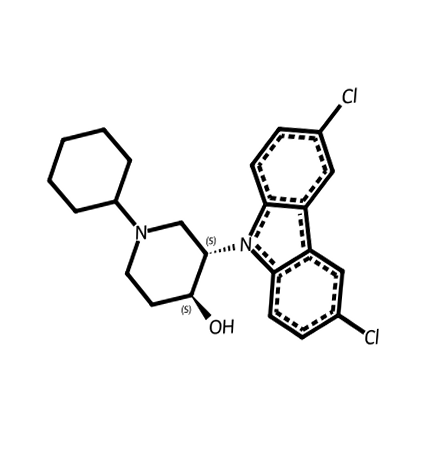 O[C@H]1CCN(C2CCCCC2)C[C@@H]1n1c2ccc(Cl)cc2c2cc(Cl)ccc21